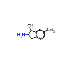 Cc1ccc2c(c1)C(C)C(N)C2